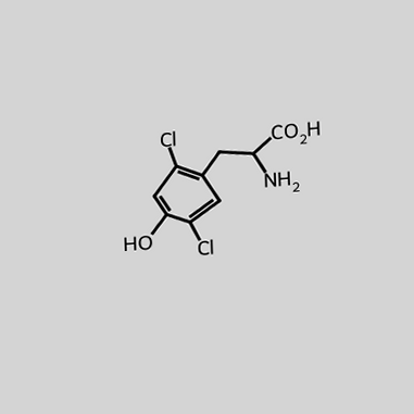 NC(Cc1cc(Cl)c(O)cc1Cl)C(=O)O